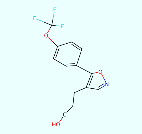 OCCCc1cnoc1-c1ccc(OC(F)(F)F)cc1